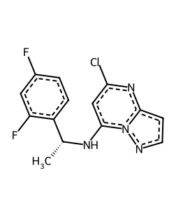 C[C@@H](Nc1cc(Cl)nc2ccnn12)c1ccc(F)cc1F